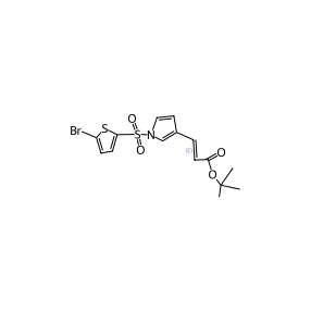 CC(C)(C)OC(=O)/C=C/c1ccn(S(=O)(=O)c2ccc(Br)s2)c1